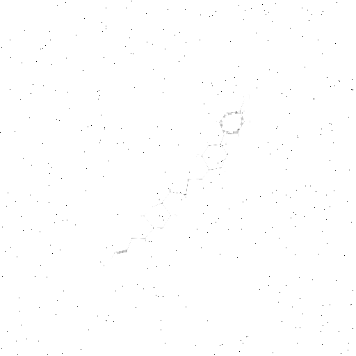 N#CC=CCCC1CCC(CCCCC2CCC(c3ccc(C(F)(F)F)cc3)CC2)CC1